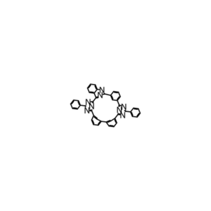 c1ccc(-c2nc3nc(n2)c2cccc(c2)c2nc4ccccc4c(n2)c2nc(-c4ccccc4)nc(n2)c2cccc(c2)c2cccc3c2)cc1